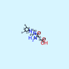 Cc1cc(C)cc(N2CCN(C(=O)[C@@H](N)CCC(=O)O)CC2)c1